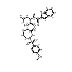 COc1ccc(S(=O)(=O)N2CCC[C@H](NC(=O)C(CC(C)C)NC(=O)c3cc4ccccc4s3)C(=O)C2)cc1